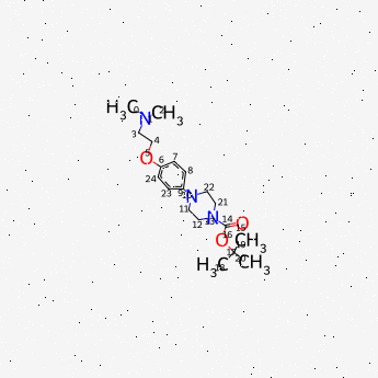 CN(C)CCOc1ccc(N2CCN(C(=O)OC(C)(C)C)CC2)cc1